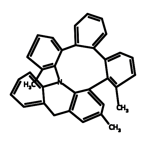 Cc1cc2c3c(c1)c1c(C)cccc1c1ccccc1c1cccc(C)c1n3-c1ccccc1C2